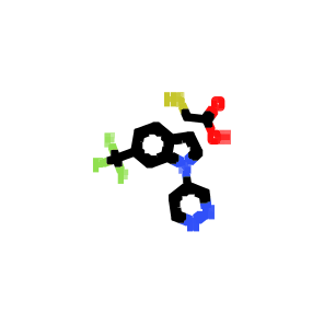 FC(F)(F)c1ccc2ccn(-c3ccnnc3)c2c1.O=C(O)CS